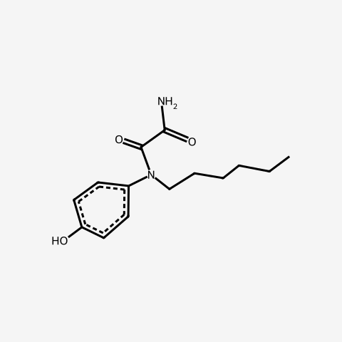 CCCCCCN(C(=O)C(N)=O)c1ccc(O)cc1